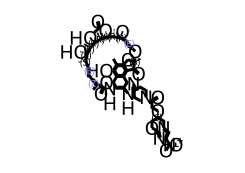 CO[C@H]1/C=C/O[C@@]2(C)Oc3c(C)c(O)c4c(c3C2=O)C2=NC3(CCN(C(=O)CO[C@@H]5COc6nc([N+](=O)[O-])cn6C5)CC3)NC2=C(NC(=O)/C(C)=C\C=C\[C@H](C)[C@H](O)[C@@H](C)[C@@H](O)[C@@H](C)[C@H](OC(C)=O)[C@@H]1C)C4=O